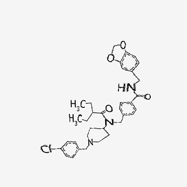 CCC(CC)C(=O)N(Cc1ccc(C(=O)NCc2ccc3c(c2)OCO3)cc1)C1CCN(Cc2ccc(Cl)cc2)CC1